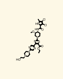 CCOC(=O)c1sc(N2CC[C@@H](NC(=O)c3[nH]c(C)c(Cl)c3Cl)[C@@H](OC)C2)nc1-c1cnc(N2CCN(CCO)CC2)cn1